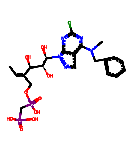 C/C=C(/COP(=O)(O)CP(=O)(O)O)[C@@H](O)[C@@H](O)[C@@H](O)n1ncc2c(N(C)Cc3ccccc3)nc(Cl)nc21